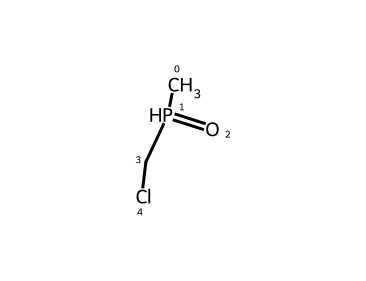 C[PH](=O)CCl